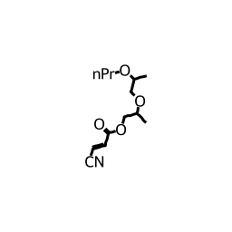 CCCOC(C)COC(C)COC(=O)C=CC#N